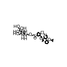 O=C(NCCOCC[S+]([O-])c1ccc(Cl)c(COC2(c3cnccc3-c3ccccc3OC3CC3)CC2)c1)NC(CO)C(O)C(O)C(O)CO